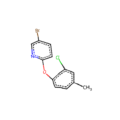 Cc1ccc(Oc2ccc(Br)cn2)c(Cl)c1